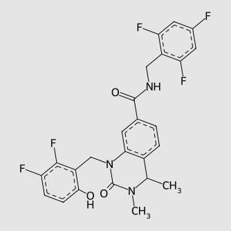 CC1c2ccc(C(=O)NCc3c(F)cc(F)cc3F)cc2N(Cc2c(O)ccc(F)c2F)C(=O)N1C